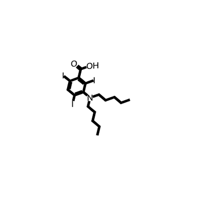 CCCCCN(CCCCC)c1c(I)cc(I)c(C(=O)O)c1I